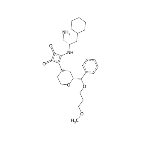 COCCCOC(c1ccccc1)[C@H]1CN(c2c(N[C@H](CN)CC3CCCCC3)c(=O)c2=O)CCO1